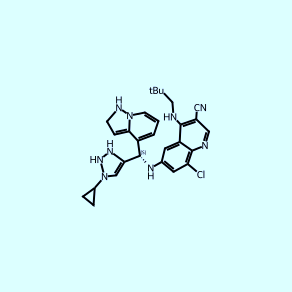 CC(C)(C)CNc1c(C#N)cnc2c(Cl)cc(N[C@H](C3=CN(C4CC4)NN3)C3=CC=CN4NCC=C34)cc12